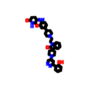 O=C1CC[C@@H](Nc2ccc(C3CCN(CCNC(=O)C4(c5ccccc5)CCN(c5cnnc(-c6ccccc6O)c5)CC4)CC3)cc2)C(=O)N1